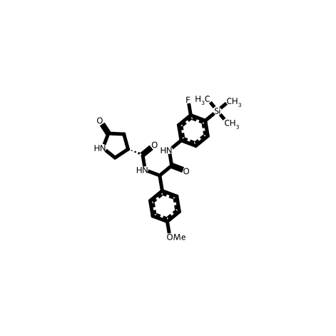 COc1ccc(C(NC(=O)[C@@H]2CNC(=O)C2)C(=O)Nc2ccc([Si](C)(C)C)c(F)c2)cc1